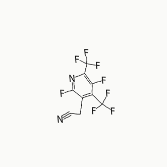 N#CCc1c(F)nc(C(F)(F)F)c(F)c1C(F)(F)F